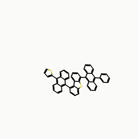 c1ccc(-c2c3ccccc3c(-c3cccc4c3sc3cccc(-c5c6ccccc6c(-c6cccs6)c6ccccc56)c34)c3ccccc23)cc1